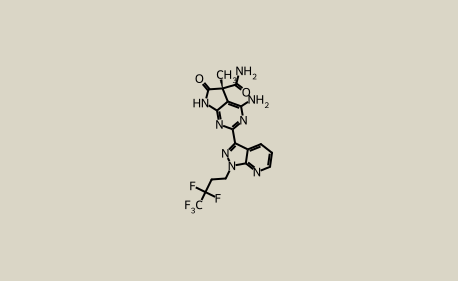 C[C@]1(C(N)=O)C(=O)Nc2nc(-c3nn(CCC(F)(F)C(F)(F)F)c4ncccc34)nc(N)c21